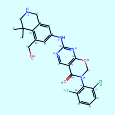 CC1(C)CNCc2cc(Nc3ncc4c(n3)OCN(c3c(F)cccc3Cl)C4=O)cc(CO)c21